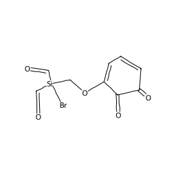 O=C[Si](Br)(C=O)COC1=CC=CC(=O)C1=O